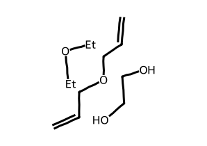 C=CCOCC=C.CCOCC.OCCO